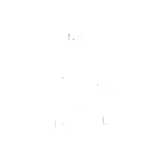 CC/C(C)=C(C)/C=C\C=N